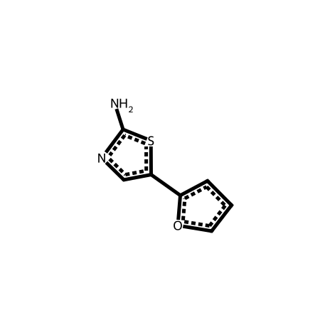 Nc1ncc(-c2ccco2)s1